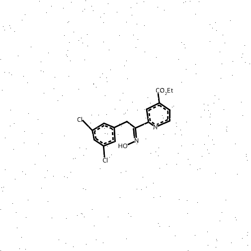 CCOC(=O)c1ccnc(/C(Cc2cc(Cl)cc(Cl)c2)=N/O)c1